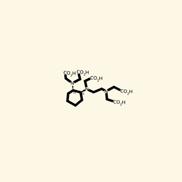 O=C(O)CN(CCN(CC(=O)O)[C@H]1CCCC[C@@H]1N(CC(=O)O)CC(=O)O)CC(=O)O